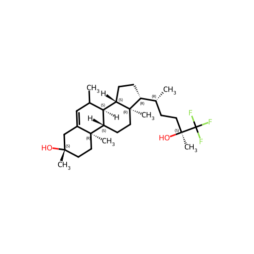 CC1C=C2C[C@@](C)(O)CC[C@]2(C)[C@H]2CC[C@]3(C)[C@@H]([C@H](C)CC[C@](C)(O)C(F)(F)F)CC[C@H]3[C@H]12